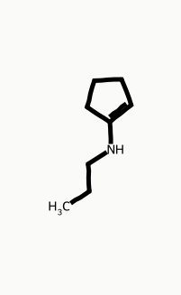 CCCNC1=CCCC1